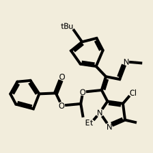 CCn1nc(C)c(Cl)c1/C(OC(C)OC(=O)c1ccccc1)=C(\C=N\C)c1ccc(C(C)(C)C)cc1